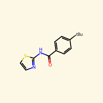 CC(C)(C)c1ccc(C(=O)Nc2nccs2)cc1